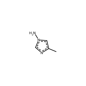 Cc1cn(N)cn1